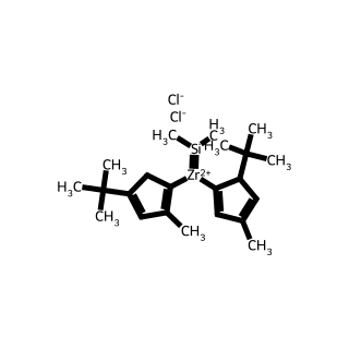 CC1=CC(C(C)(C)C)[C]([Zr+2]([C]2=C(C)C=C(C(C)(C)C)C2)=[Si](C)C)=C1.[Cl-].[Cl-]